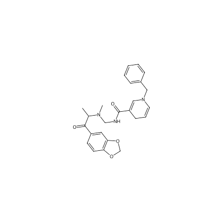 CC(C(=O)c1ccc2c(c1)OCO2)N(C)CNC(=O)C1=CN(Cc2ccccc2)C=CC1